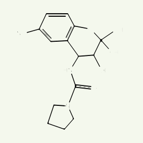 CC1(C)Oc2ccc(C#N)cc2C(NC(=O)N2CCCC2)C1O